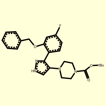 CC(C)(C)OC(=O)N1CCN(c2c[nH]nc2-c2ccc(F)cc2OCc2ccccc2)CC1